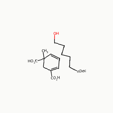 CC1(C(=O)O)C=CC=C(C(=O)O)C1.CCCCCCCCCCCCCCCO